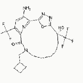 Nc1cc(C(F)(F)F)c2nc1-c1nnc(o1)[C@@](O)(C(F)(F)F)CCCCCN(CC1CCC1)C2=O